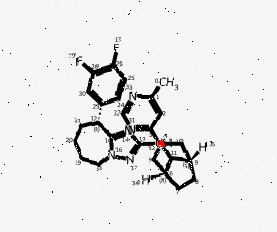 Cc1cc(N2C[C@H]3CC[C@@H](C2)C3Nc2nc3n(n2)CCCC[C@@H]3c2ccc(F)c(F)c2)ncn1